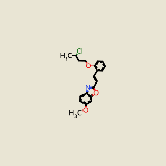 COc1ccc2nc(/C=C/c3ccccc3OCCC(C)Cl)oc2c1